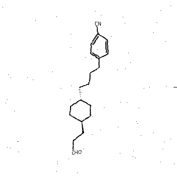 N#Cc1ccc(CCCC[C@H]2CC[C@H](CCC=O)CC2)cc1